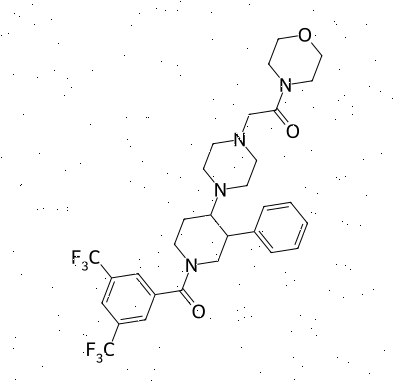 O=C(CN1CCN(C2CCN(C(=O)c3cc(C(F)(F)F)cc(C(F)(F)F)c3)CC2c2ccccc2)CC1)N1CCOCC1